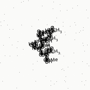 COP(=O)(O)OCC1OC(n2cc(C)c(=O)[nH]c2=O)CC1OP(=O)(O)OCC1OC(n2cnc3c(=O)[nH]c(N)nc32)CC1OP(=O)(O)OCC1OC(n2cnc3c(=O)[nH]c(N)nc32)CC1OP(=O)(O)OCC1OC(n2cc(C)c(=O)[nH]c2=O)CC1C